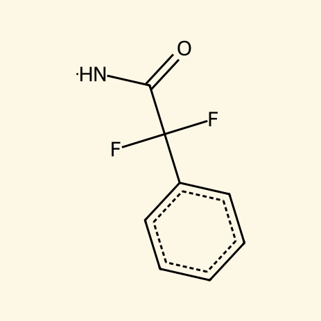 [NH]C(=O)C(F)(F)c1ccccc1